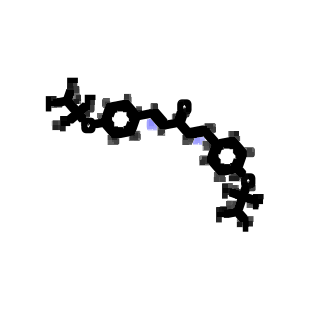 O=C(/C=C/c1ccc(OC(F)(F)C(F)F)cc1)/C=C/c1ccc(OC(F)(F)C(F)F)cc1